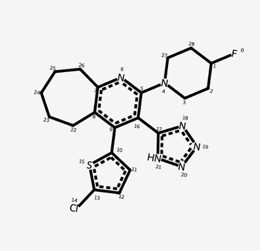 FC1CCN(c2nc3c(c(-c4ccc(Cl)s4)c2-c2nnn[nH]2)CCCCC3)CC1